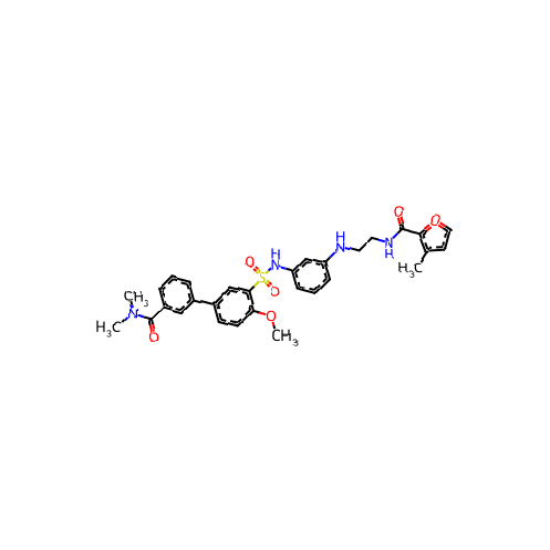 COc1ccc(-c2cccc(C(=O)N(C)C)c2)cc1S(=O)(=O)Nc1cccc(NCCNC(=O)c2occc2C)c1